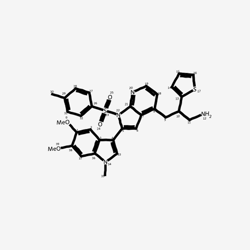 COc1cc2c(-c3cc4c(CC(CN)c5cccs5)ccnc4n3S(=O)(=O)c3ccc(C)cc3)cn(C)c2cc1OC